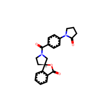 O=C1O[C@]2(CCN(C(=O)c3ccc(N4CCCC4=O)cc3)C2)c2ccccc21